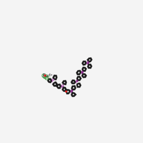 [Cl-].[Cl-].[Cl-].[Cl-].[Ru+4].c1ccc(P(c2ccccc2)c2ccccc2)cc1.c1ccc(P(c2ccccc2)c2ccccc2)cc1.c1ccc(P(c2ccccc2)c2ccccc2)cc1.c1ccc(P(c2ccccc2)c2ccccc2)cc1.c1ccc(P(c2ccccc2)c2ccccc2)cc1.c1ccc(P(c2ccccc2)c2ccccc2)cc1